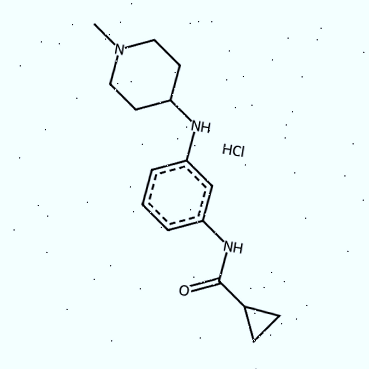 CN1CCC(Nc2cccc(NC(=O)C3CC3)c2)CC1.Cl